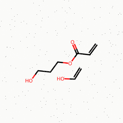 C=CC(=O)OCCCO.C=CO